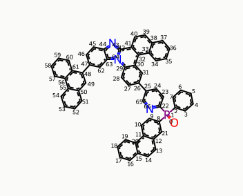 O=P(c1ccccc1)(c1ccc2c(ccc3ccccc32)c1)c1ccc(-c2ccc3c(c2)c2c4ccccc4ccc2c2nc4ccc(-c5cc6ccccc6c6ccccc56)cc4n32)cn1